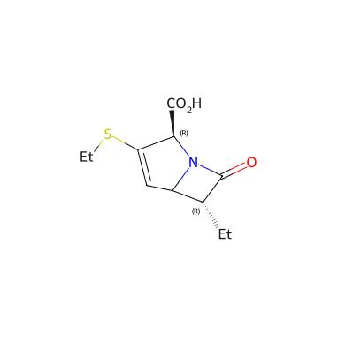 CCSC1=CC2[C@@H](CC)C(=O)N2[C@@H]1C(=O)O